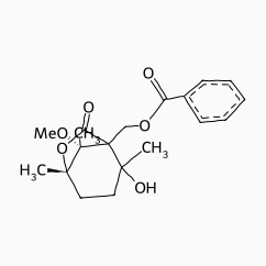 CO[C@]1(C)C2(COC(=O)c3ccccc3)C(=O)O[C@@]1(C)CCC2(C)O